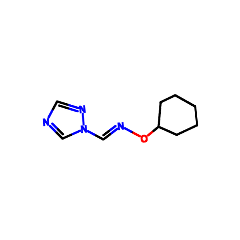 C(=NOC1CCCCC1)n1cncn1